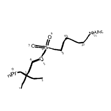 [CH2]CCC(C)(C)COS(=O)(=O)CCCNC(C)=O